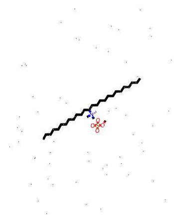 CCCCCCCCCCCCCC(CCCCCCCCCCCC)[N+](C)(C)C.COS(=O)(=O)[O-]